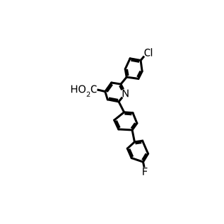 O=C(O)c1cc(-c2ccc(Cl)cc2)nc(-c2ccc(-c3ccc(F)cc3)cc2)c1